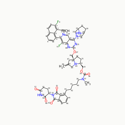 C#Cc1c(F)ccc2cccc(-c3ncc4c(N5CC6CCC(C5)N6)nc(OC[C@@]56CC[C@@H](COC(=O)N(C)CCCCCc7cccc8c7C(=O)N(C7CCC(=O)NC7=O)C8=O)N5CC(=C)C6)nc4c3F)c12